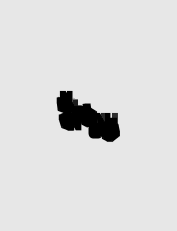 Cc1cc(NC(=O)c2ccccc2)ccc1Oc1ncccc1-c1ccncn1